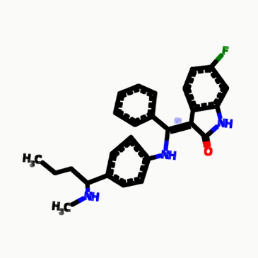 CCCC(NC)c1ccc(N/C(=C2\C(=O)Nc3cc(F)ccc32)c2ccccc2)cc1